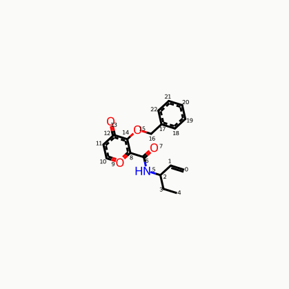 C=CC(CC)NC(=O)c1occc(=O)c1OCc1ccccc1